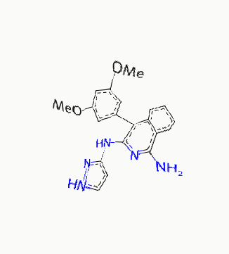 COc1cc(OC)cc(-c2c(Nc3cc[nH]n3)nc(N)c3ccccc23)c1